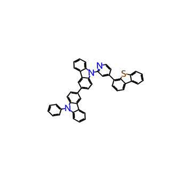 c1ccc(-n2c3ccccc3c3cc(-c4ccc5c(c4)c4ccccc4n5-c4cc(-c5cccc6c5sc5ccccc56)ccn4)ccc32)cc1